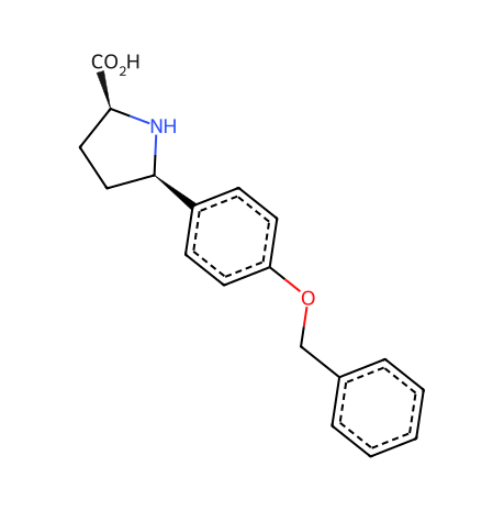 O=C(O)[C@@H]1CC[C@H](c2ccc(OCc3ccccc3)cc2)N1